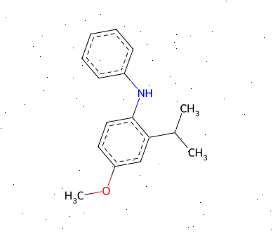 COc1ccc(Nc2ccccc2)c(C(C)C)c1